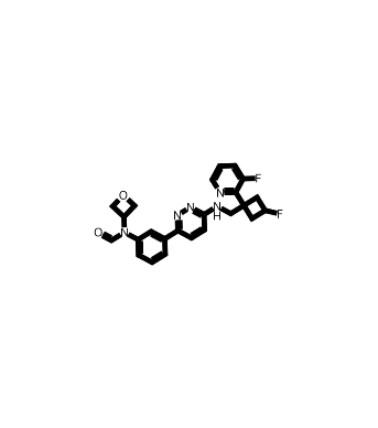 O=CN(c1cccc(-c2ccc(NCC3(c4ncccc4F)CC(F)C3)nn2)c1)C1COC1